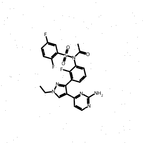 CCn1cc(-c2ccnc(N)n2)c(-c2cccc(N(C(C)=O)S(=O)(=O)c3cc(F)ccc3F)c2F)n1